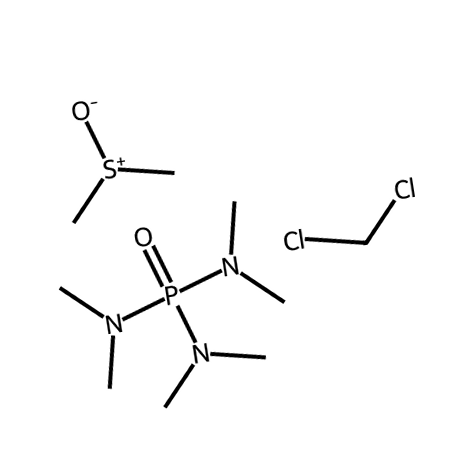 CN(C)P(=O)(N(C)C)N(C)C.C[S+](C)[O-].ClCCl